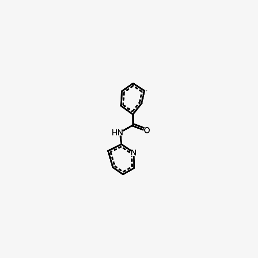 O=C(Nc1ccccn1)c1c[c]ccc1